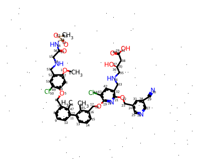 COc1cc(OCc2cccc(-c3cccc(COc4nc(OCc5cncc(C#N)c5)c(CNC[C@@H](O)CC(=O)O)cc4Cl)c3C)c2C)c(Cl)cc1CNCC(=O)NS(C)(=O)=O